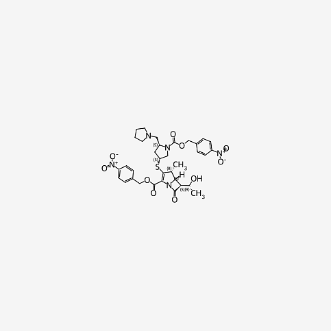 C[C@@H](O)[C@H]1C(=O)N2C(C(=O)OCc3ccc([N+](=O)[O-])cc3)=C(S[C@H]3C[C@@H](CN4CCCC4)N(C(=O)OCc4ccc([N+](=O)[O-])cc4)C3)[C@H](C)[C@H]12